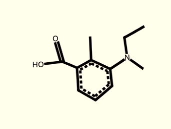 CCN(C)c1cccc(C(=O)O)c1C